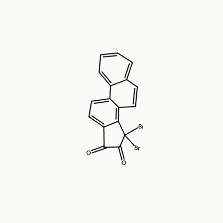 O=C1C(=O)C(Br)(Br)c2c1ccc1c2ccc2ccccc21